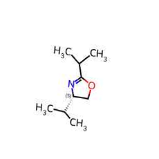 CC(C)C1=N[C@@H](C(C)C)CO1